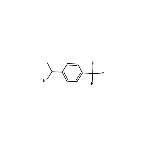 CC(Br)c1ccc(C(F)(F)F)cc1